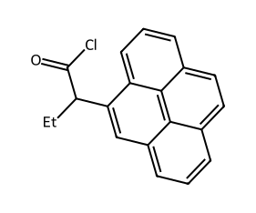 CCC(C(=O)Cl)c1cc2cccc3ccc4cccc1c4c32